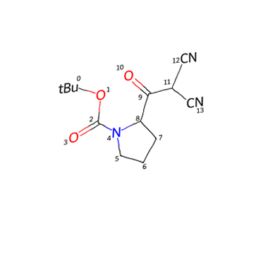 CC(C)(C)OC(=O)N1CCCC1C(=O)C(C#N)C#N